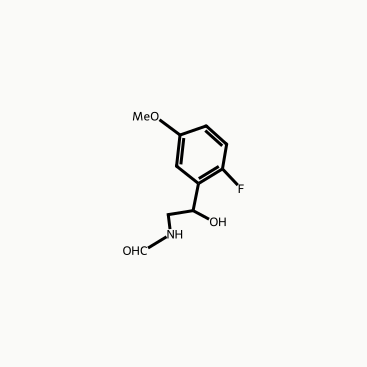 COc1ccc(F)c(C(O)CNC=O)c1